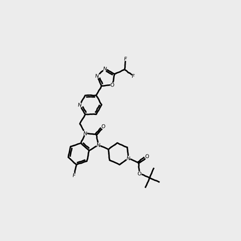 CC(C)(C)OC(=O)N1CCC(n2c(=O)n(Cc3ccc(-c4nnc(C(F)F)o4)cn3)c3ccc(F)cc32)CC1